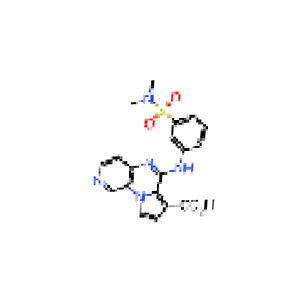 CN(C)S(=O)(=O)c1cccc(Nc2nc3ccncc3n3ccc(C(=O)O)c23)c1